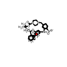 COC(=O)c1sc(Nc2cc(CN3CCN(C(=O)OC(C)(C)C)CC3)ccc2[N+](=O)[O-])cc1O[C@H](C)c1ccccc1C(F)(F)F